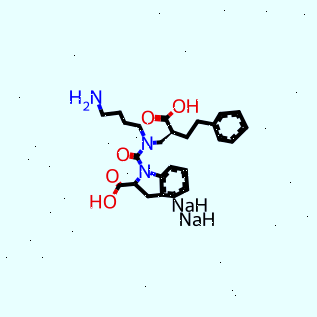 NCCCCN(C[C@H](CCc1ccccc1)C(=O)O)C(=O)N1c2ccccc2CC1C(=O)O.[NaH].[NaH]